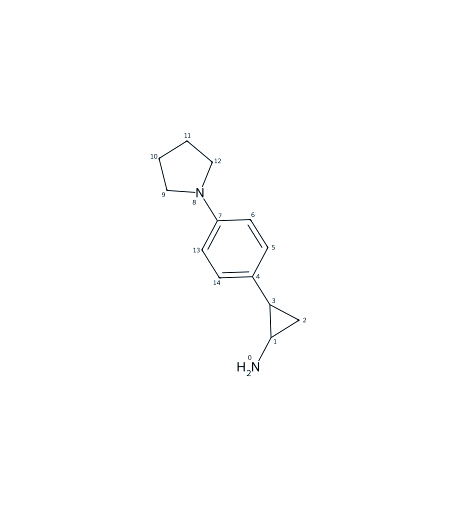 NC1CC1c1ccc(N2CCCC2)cc1